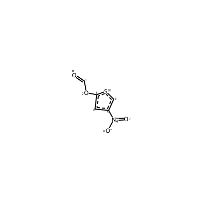 O=COc1cc([N+](=O)[O-])cs1